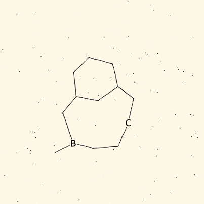 CB1CCCCC2CCCC(C1)C2